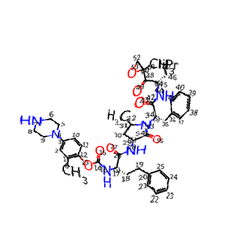 Cc1cc(N2CCNCC2)ccc1OC(=O)N[C@@H](CCc1ccccc1)C(=O)N[C@H]1CC(C)N([C@@H](Cc2ccccc2)C(=O)N[C@@H](CC(C)C)C(=O)[C@@]2(C)CO2)C1=O